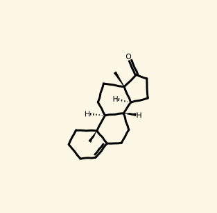 C[C@]12CCCC=C1CC[C@@H]1[C@@H]2CC[C@]2(C)C(=O)CC[C@@H]12